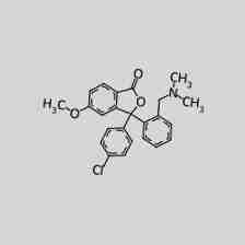 COc1ccc2c(c1)C(c1ccc(Cl)cc1)(c1ccccc1CN(C)C)OC2=O